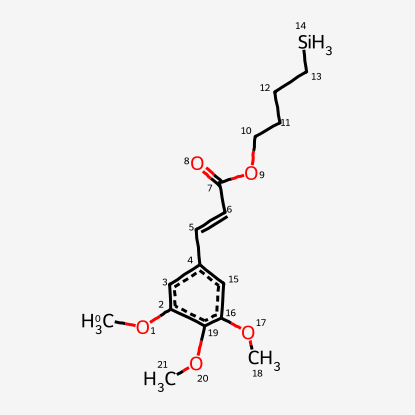 COc1cc(/C=C/C(=O)OCCCC[SiH3])cc(OC)c1OC